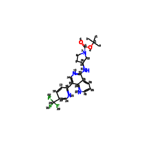 CC(C)(C)OC(=O)N1CC[C@H](Nc2ncc(-c3ccc(C(F)(F)F)cn3)c3ncccc23)C1